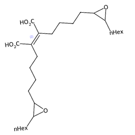 CCCCCCC1OC1CCCC/C(C(=O)O)=C(\CCCCC1OC1CCCCCC)C(=O)O